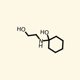 OCCNC1(O)CCCCC1